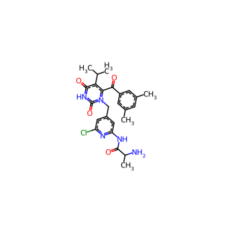 Cc1cc(C)cc(C(=O)c2c(C(C)C)c(=O)[nH]c(=O)n2Cc2cc(Cl)nc(NC(=O)C(C)N)c2)c1